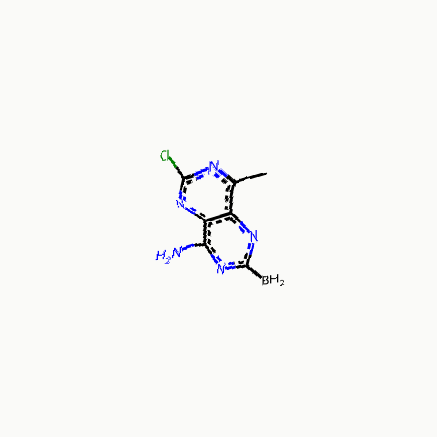 Bc1nc(N)c2nc(Cl)nc(C)c2n1